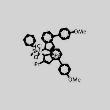 COc1ccc(-c2cccc3c2C=C(C(C)C)[CH]3[Zr]([Cl])([Cl])([CH]2C(C(C)C)=Cc3c(-c4ccc(OC)cc4)cccc32)[SiH](C)c2ccccc2)cc1